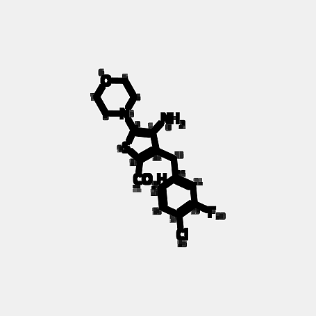 Nc1c(N2CCOCC2)sc(C(=O)O)c1Cc1ccc(Cl)c(F)c1